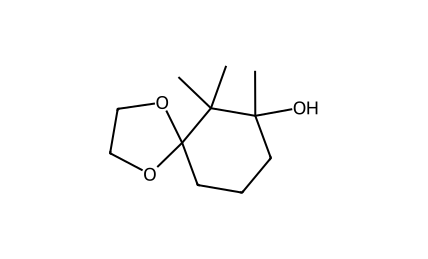 CC1(O)CCCC2(OCCO2)C1(C)C